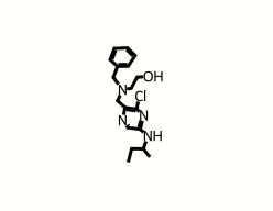 CCC(C)Nc1cnc(CN(CCO)Cc2ccccc2)c(Cl)n1